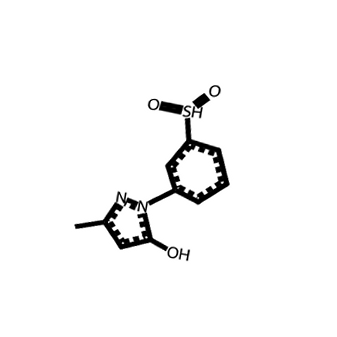 Cc1cc(O)n(-c2cccc([SH](=O)=O)c2)n1